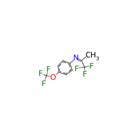 CC(=Nc1ccc(OC(F)(F)F)cc1)C(F)(F)F